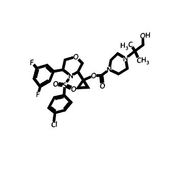 CC(C)(CO)N1CCN(C(=O)OC2(C3COCC(c4cc(F)cc(F)c4)N3S(=O)(=O)c3ccc(Cl)cc3)CC2)CC1